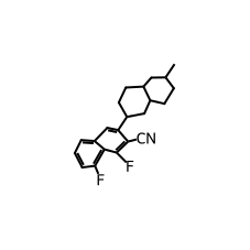 CC1CCC2CC(c3cc4cccc(F)c4c(F)c3C#N)CCC2C1